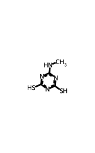 CNc1nc(S)nc(S)n1